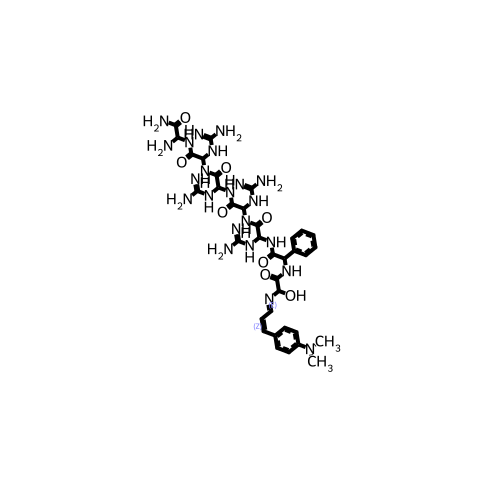 CN(C)c1ccc(/C=C\C=N\C(O)C(=O)NC(C(=O)NC(NC(=N)N)C(=O)NC(NC(=N)N)C(=O)NC(NC(=N)N)C(=O)NC(NC(=N)N)C(=O)NC(N)C(N)=O)c2ccccc2)cc1